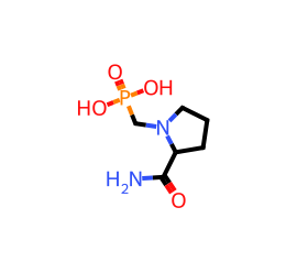 NC(=O)C1CCCN1CP(=O)(O)O